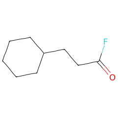 O=C(F)CCC1CCCCC1